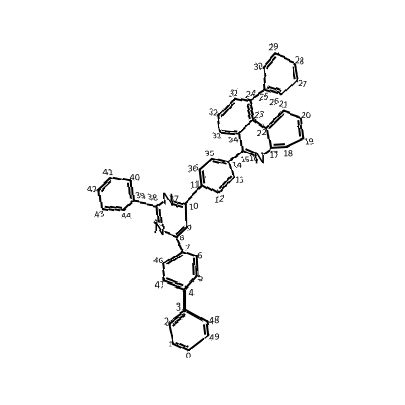 c1ccc(-c2ccc(-c3cc(-c4ccc(-c5nc6ccccc6c6c(-c7ccccc7)cccc56)cc4)nc(-c4ccccc4)n3)cc2)cc1